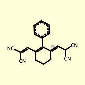 N#CC(C#N)=CC1=C(c2ccccc2)/C(=C/C(C#N)C#N)CCC1